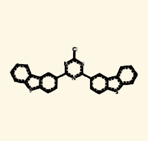 Clc1nc(-c2ccc3sc4ccccc4c3c2)nc(-c2ccc3sc4ccccc4c3c2)n1